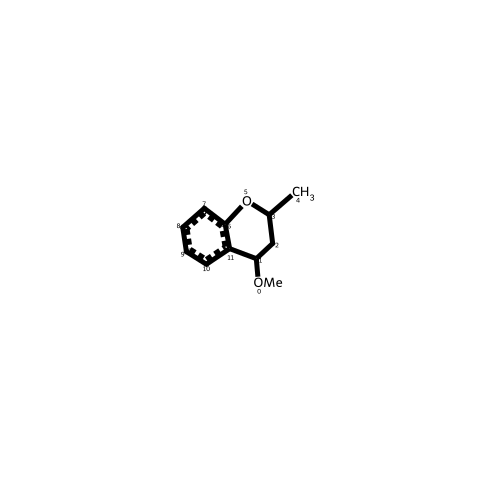 COC1CC(C)Oc2ccccc21